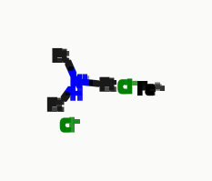 CC[NH+](CC)CC.[Cl-].[Cl-].[Fe+]